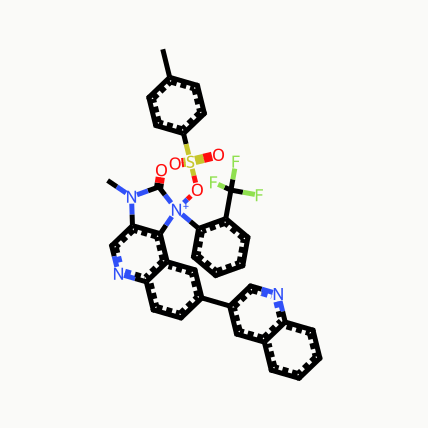 Cc1ccc(S(=O)(=O)O[N+]2(c3ccccc3C(F)(F)F)C(=O)N(C)c3cnc4ccc(-c5cnc6ccccc6c5)cc4c32)cc1